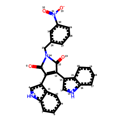 O=C1C(c2c[nH]c3ccccc23)=C(c2c[nH]c3ccccc23)C(=O)N1Cc1cccc([N+](=O)[O-])c1